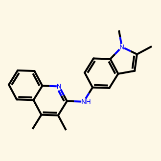 Cc1c(Nc2ccc3c(c2)cc(C)n3C)nc2ccccc2c1C